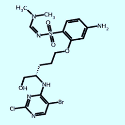 CN(C)/C=N\S(=O)(=O)c1ccc(N)cc1OCCC[C@@H](CO)Nc1nc(Cl)ncc1Br